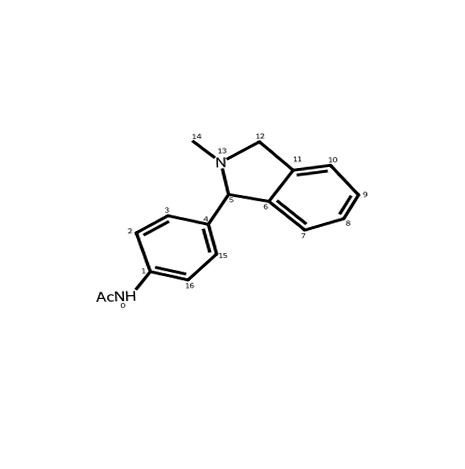 CC(=O)Nc1ccc(C2c3ccccc3CN2C)cc1